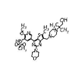 COc1ncc(-c2nc(N3CCOCC3)nc3c(CN4CCN(C(C)(C)CO)CC4)c(C)sc23)cc1NS(C)(=O)=O